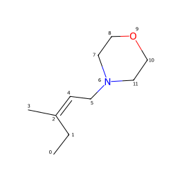 CCC(C)=CCN1CCOCC1